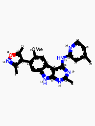 COc1cc2c(cc1-c1c(C)noc1C)[nH]c1nc(C)nc(Nc3cc(C)ccn3)c12